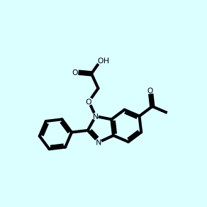 CC(=O)c1ccc2nc(-c3ccccc3)n(OCC(=O)O)c2c1